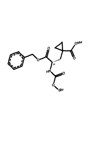 COC(=O)C1(C[C@H](NC(=O)OC(C)(C)C)C(=O)OCc2ccccc2)CC1